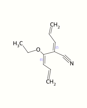 C=C/C=C(C#N)\C(=C/C=C)OCC